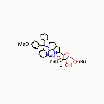 CCCCOC[C@H]1OC(c2cc3c4c(ncnn24)N(C(c2ccccc2)(c2ccccc2)c2ccc(OC)cc2)CC3)[C@](C)(OCCCC)[C@@H]1O